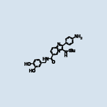 CC(C)(C)Nc1c(-c2ccc(N)cc2)nc2ccc(C(=O)NCc3ccc(O)c(O)c3)cn12